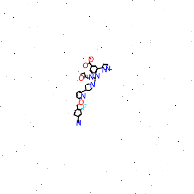 COC(=O)c1cc(-c2ccn(C)n2)c2nc(CN3CCC(c4cccc(OCc5ccc(C#N)cc5F)n4)CC3)n(C[C@@H]3CCO3)c2c1